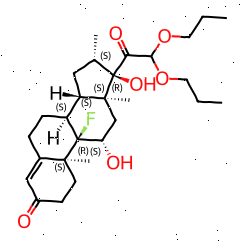 CCCOC(OCCC)C(=O)[C@@]1(O)[C@@H](C)C[C@H]2[C@@H]3CCC4=CC(=O)CC[C@]4(C)[C@@]3(F)[C@@H](O)C[C@@]21C